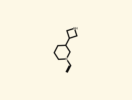 C=CN1CCCC(C2CNC2)C1